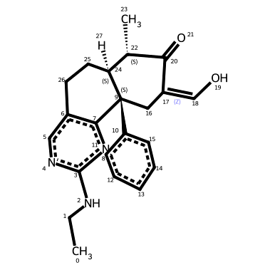 CCNc1ncc2c(n1)[C@@]1(c3ccccc3)C/C(=C/O)C(=O)[C@@H](C)[C@@H]1CC2